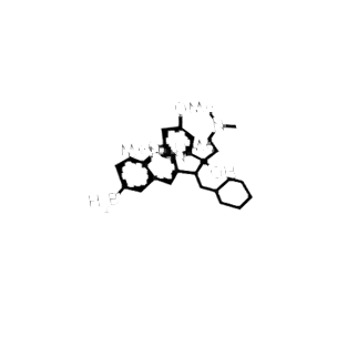 Bc1ccc2nc(OC)c(C(CC3CCCCC3)C(O)(CCN(C)C)c3cc(OC)cc(OC)n3)cc2c1